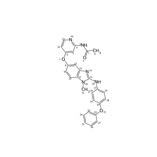 CC(=O)Nc1cc(Oc2ccc3c(c2)nc(Nc2ccc(Oc4ccccc4)cc2)n3C)ccn1